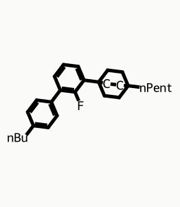 CCCCCC12CCC(c3cccc(-c4ccc(CCCC)cc4)c3F)(CC1)CC2